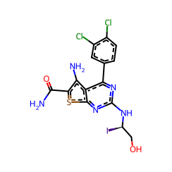 NC(=O)c1sc2nc(N[C@H](I)CO)nc(-c3ccc(Cl)c(Cl)c3)c2c1N